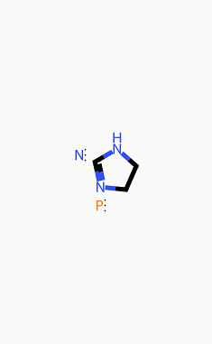 C1=NCCN1.[N].[P]